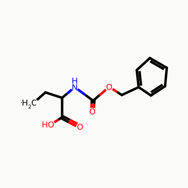 [CH2]CC(NC(=O)OCc1ccccc1)C(=O)O